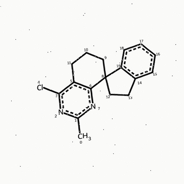 Cc1nc(Cl)c2c(n1)C1(CCC2)CCc2ccccc21